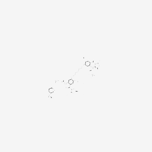 C=C1CC(C(=O)c2cc(OC)c(OCCCCCOc3cc(NC(=O)OC[C@H](C)SSc4ccc([N+](=O)[O-])cn4)c(C(=O)C4CC(=C)C[C@H]4C)cc3OC)cc2NC(=O)OC(C)(C)C)[C@H](CO)C1